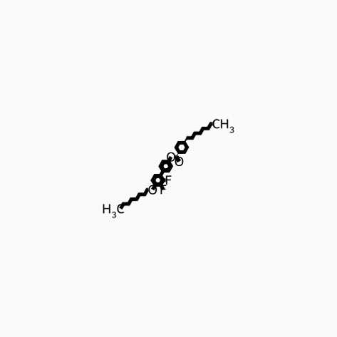 CCCCCCCCOc1ccc(-c2ccc(OC(=O)[C@H]3CC[C@H](CCCCCCCC)CC3)cc2)c(F)c1F